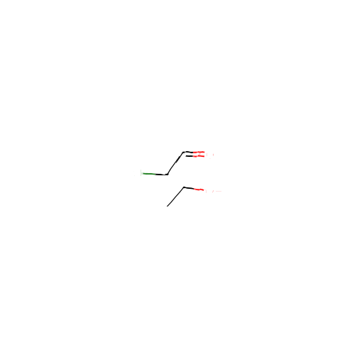 CCO.O=CCCl